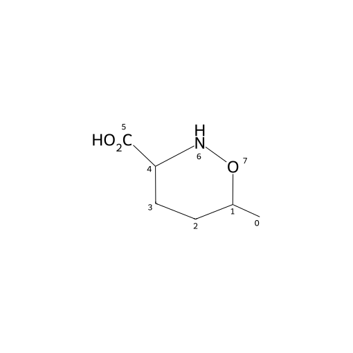 CC1CCC(C(=O)O)NO1